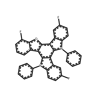 Fc1ccc2c(c1)c1c3oc4c(F)cccc4c3c3c(c4cc(F)ccc4n3-c3ccccc3)c1n2-c1ccccc1